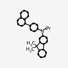 CC(C)N(c1ccc(-c2cccc3ccccc23)cc1)c1ccc2c(c1)C(C)(C)c1ccccc1-2